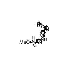 COCCNC(=O)c1ccc(Nc2cc3cc(-c4c(OC[C@H]5CCN5C)cnn4C)ccn3n2)nc1